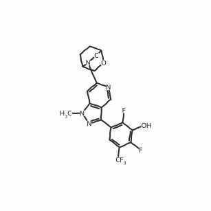 Cn1nc(-c2cc(C(F)(F)F)c(F)c(O)c2F)c2cnc(N3CC4CCC3CO4)cc21